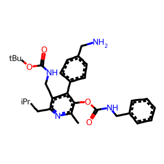 Cc1nc(CC(C)C)c(CNC(=O)OC(C)(C)C)c(-c2ccc(CN)cc2)c1OC(=O)NCc1ccccc1